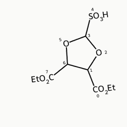 CCOC(=O)C1OC(S(=O)(=O)O)OC1C(=O)OCC